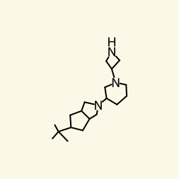 CC(C)(C)C1CC2CN(C3CCCN(C4CNC4)C3)CC2C1